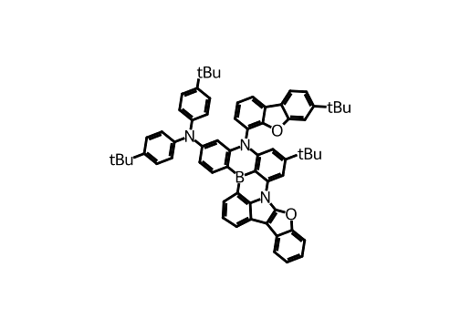 CC(C)(C)c1ccc(N(c2ccc(C(C)(C)C)cc2)c2ccc3c(c2)N(c2cccc4c2oc2cc(C(C)(C)C)ccc24)c2cc(C(C)(C)C)cc4c2B3c2cccc3c5c6ccccc6oc5n-4c23)cc1